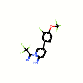 N=C(n1cc(-c2ccc(OC(F)(F)F)c(F)c2)ccc1=N)C(F)(F)F